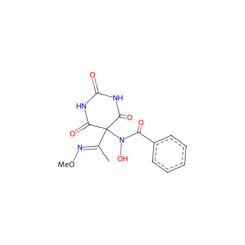 CO/N=C(\C)C1(N(O)C(=O)c2ccccc2)C(=O)NC(=O)NC1=O